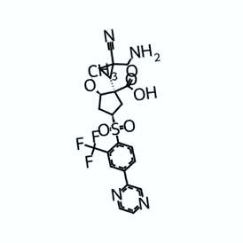 CO[C@@H]1C[C@H](S(=O)(=O)c2ccc(-c3cnccn3)cc2C(F)(F)F)C[C@@]1(C(=O)O)C1CC1(C#N)C(N)=O